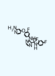 Nc1cc(Oc2ccc(Nc3nccnc3C(=O)Nc3ccc(F)cc3F)cc2F)ccn1